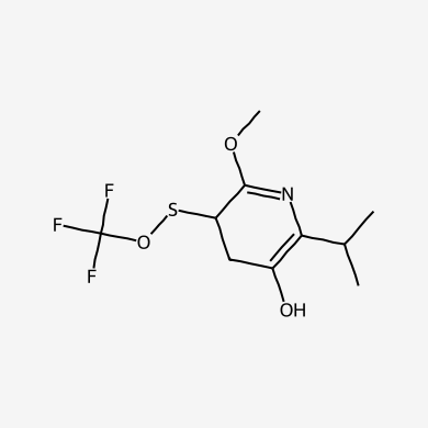 COC1=NC(C(C)C)=C(O)CC1SOC(F)(F)F